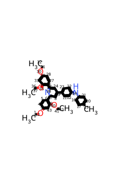 CCOc1ccc(-c2cc(-c3ccc(Nc4ccc(C)cc4)cc3)cc(-c3ccc(OCC)cc3OCC)n2)c(OCC)c1